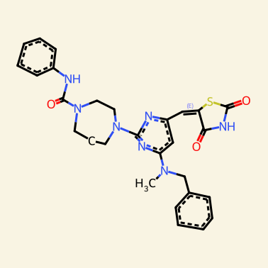 CN(Cc1ccccc1)c1cc(/C=C2/SC(=O)NC2=O)nc(N2CCCN(C(=O)Nc3ccccc3)CC2)n1